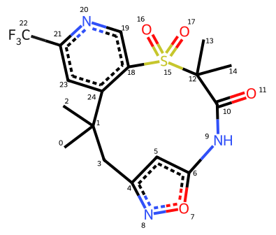 CC1(C)Cc2cc(on2)NC(=O)C(C)(C)S(=O)(=O)c2cnc(C(F)(F)F)cc21